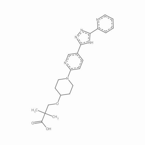 CC(C)(COC1CCN(c2ccc(-c3nnc(-c4ccccn4)[nH]3)cn2)CC1)C(=O)O